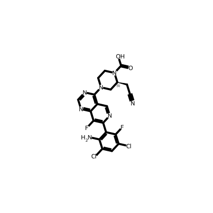 N#CC[C@H]1CN(c2ncnc3c(F)c(-c4c(N)c(Cl)cc(Cl)c4F)ncc23)CCN1C(=O)O